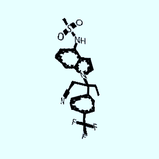 CCC(CC#N)(c1ccc(C(F)(F)F)cc1)n1ccc2c(NS(C)(=O)=O)cccc21